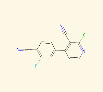 N#Cc1ccc(-c2ccnc(Cl)c2C#N)cc1F